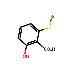 O=C(O)c1c(O)cccc1SBr